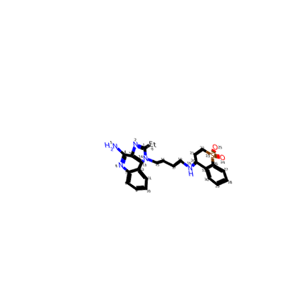 CCc1nc2c(N)nc3ccccc3c2n1CCCCNC1CCS(=O)(=O)c2ccccc21